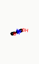 OC1CCN(c2ncc(-c3cc4ccccc4o3)cn2)CC1